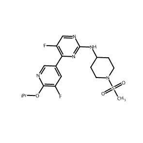 CC(C)Oc1ncc(-c2nc(NC3CCN(S(C)(=O)=O)CC3)ncc2F)cc1F